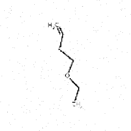 C=CSCOCC